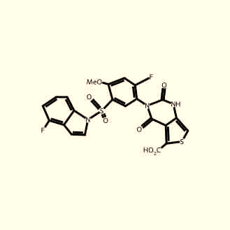 COc1cc(F)c(-n2c(=O)[nH]c3csc(C(=O)O)c3c2=O)cc1S(=O)(=O)n1ccc2c(F)cccc21